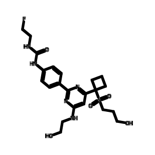 O=C(NCCF)Nc1ccc(-c2nc(NCCO)cc(C3(S(=O)(=O)CCCO)CCC3)n2)cc1